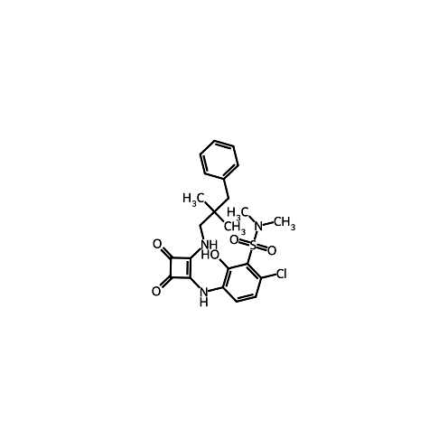 CN(C)S(=O)(=O)c1c(Cl)ccc(Nc2c(NCC(C)(C)Cc3ccccc3)c(=O)c2=O)c1O